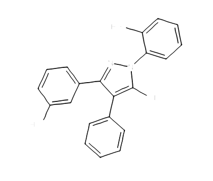 Cc1cccc(-c2nn(-c3ccccc3C)c(O)c2-c2ccccc2)c1